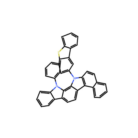 c1ccc(-n2c3ccccc3c3ccc4c5c6ccccc6ccc5n(-c5ccc6sc7ccccc7c6c5)c4c32)cc1